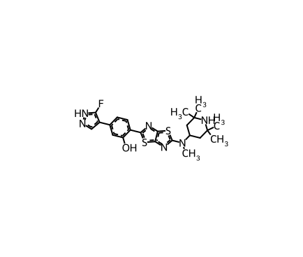 CN(c1nc2sc(-c3ccc(-c4cn[nH]c4F)cc3O)nc2s1)C1CC(C)(C)NC(C)(C)C1